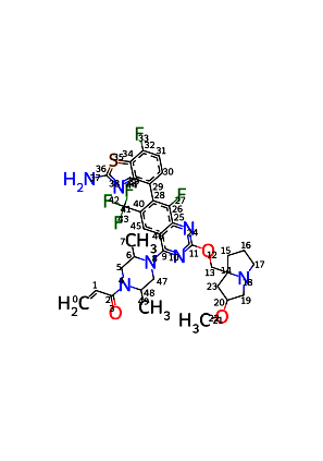 C=CC(=O)N1CC(C)N(c2nc(OCC34CCCN3CC(OC)C4)nc3c(F)c(-c4ccc(F)c5sc(N)nc45)c(C(F)(F)F)cc23)CC1C